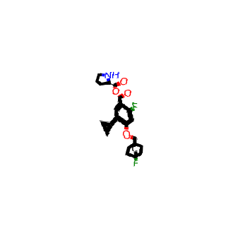 O=C(OC(=O)[C@@H]1CCCN1)c1cc(C2CC2)c(OCC23CCC(F)(CC2)CC3)cc1F